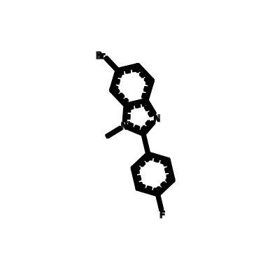 Cn1c(-c2ccc(F)cc2)nc2ccc(Br)cc21